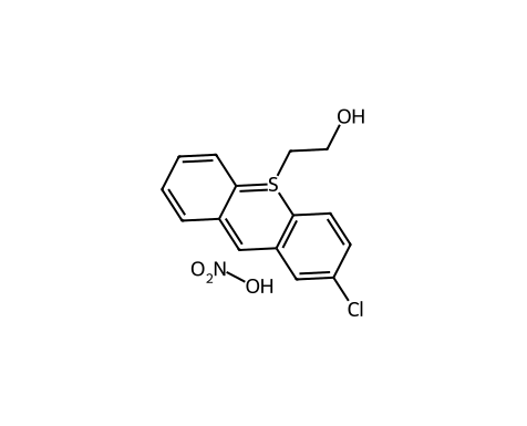 O=[N+]([O-])O.OCCS1=c2ccccc2=Cc2cc(Cl)ccc21